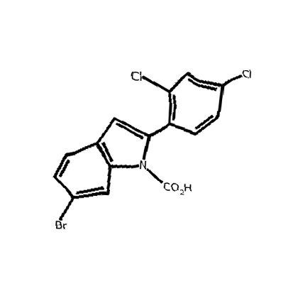 O=C(O)n1c(-c2ccc(Cl)cc2Cl)cc2ccc(Br)cc21